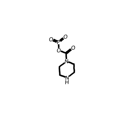 O=C(OP(=O)=O)N1CCNCC1